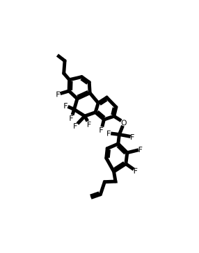 C=CCCc1ccc(C(F)(F)Oc2ccc3c(c2F)C(F)(F)C(F)(F)c2c-3ccc(CCC)c2F)c(F)c1F